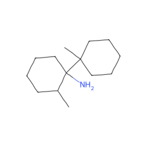 CC1CCCCC1(N)C1(C)CCCCC1